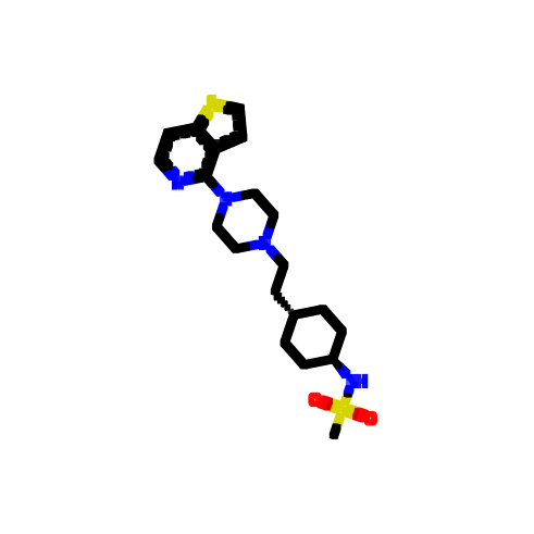 CS(=O)(=O)N[C@H]1CC[C@H](CCN2CCN(c3nccc4sccc34)CC2)CC1